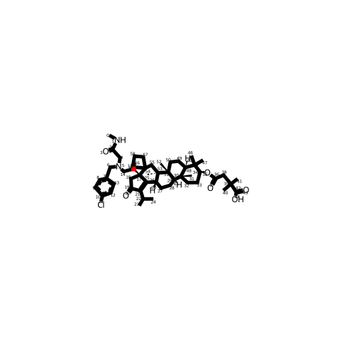 CNC(=O)CN(Cc1ccc(Cl)cc1)CC(C)[C@]12CC(=O)C(C(C)C)=C1[C@H]1CC[C@@H]3[C@@]4(C)CC[C@H](OC(=O)CC(C)(C)C(=O)O)C(C)(C)[C@@H]4CC[C@@]3(C)[C@]1(C)CC21CCC1